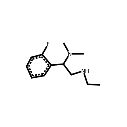 CCNCC(c1ccccc1F)N(C)C